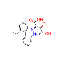 CCc1ccccc1-c1ccccc1-n1cc(O)c(=O)c(C(=O)O)n1